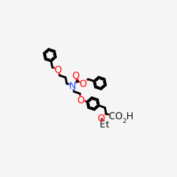 CCOC(Cc1ccc(OCCN(CCCOCc2ccccc2)C(=O)OCc2ccccc2)cc1)C(=O)O